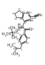 CN(C)Cc1ccc(C(=O)N(NCC(C)(C)C)c2nc(C#N)nc3c2CCC3)cc1